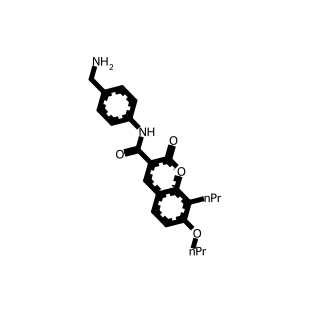 CCCOc1ccc2cc(C(=O)Nc3ccc(CN)cc3)c(=O)oc2c1CCC